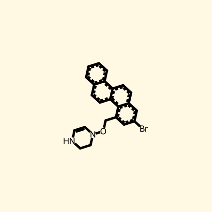 Brc1cc(CON2C=CNCC2)c2c(ccc3c4ccccc4ccc32)c1